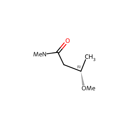 CNC(=O)C[C@H](C)OC